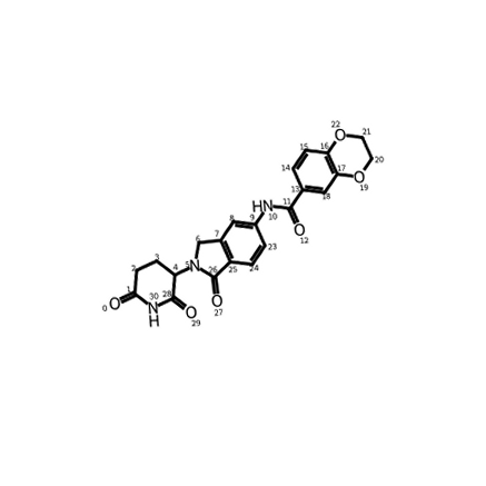 O=C1CCC(N2Cc3cc(NC(=O)c4ccc5c(c4)OCCO5)ccc3C2=O)C(=O)N1